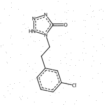 O=c1nn[nH]n1CCc1cccc(Cl)c1